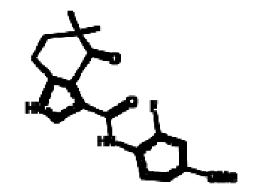 COc1ccc(NC(=O)c2c[nH]c3c2C(=O)C(C)(C)CC3)c(F)c1